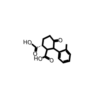 Cc1ccccc1C1C(=O)CC[C@@H](C(=O)O)C1C(=O)O